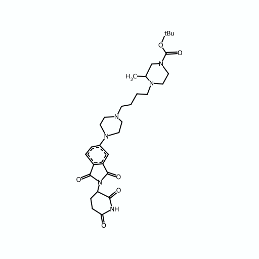 CC1CN(C(=O)OC(C)(C)C)CCN1CCCCN1CCN(c2ccc3c(c2)C(=O)N(C2CCC(=O)NC2=O)C3=O)CC1